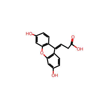 O=C(O)CC=C1c2ccc(O)cc2Oc2cc(O)ccc21